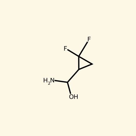 NC(O)C1CC1(F)F